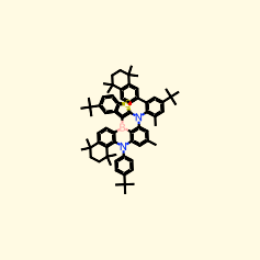 Cc1cc2c3c(c1)N(c1c(C)cc(C(C)(C)C)cc1-c1ccc4c(c1)C(C)(C)CCC4(C)C)c1sc4ccc(C(C)(C)C)cc4c1B3c1ccc3c(c1N2c1ccc(C(C)(C)C)cc1)C(C)(C)CCC3(C)C